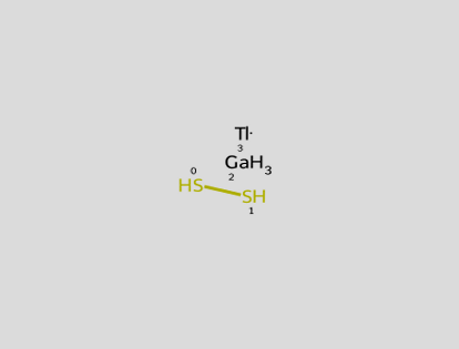 SS.[GaH3].[Tl]